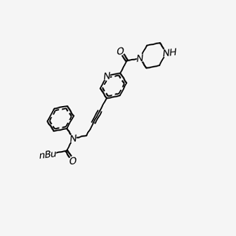 CCCCC(=O)N(CC#Cc1ccc(C(=O)N2CCNCC2)nc1)c1ccccc1